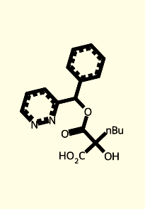 CCCCC(O)(C(=O)O)C(=O)OC(c1ccccc1)c1cccnn1